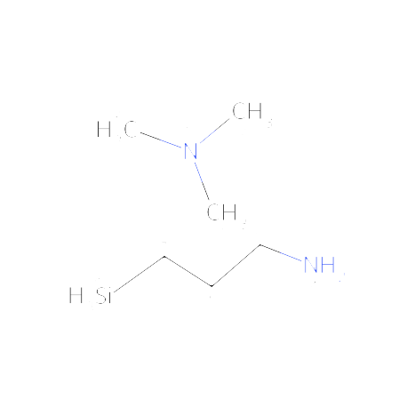 CN(C)C.NCCC[SiH3]